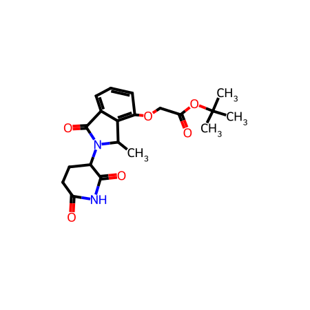 CC1c2c(OCC(=O)OC(C)(C)C)cccc2C(=O)N1C1CCC(=O)NC1=O